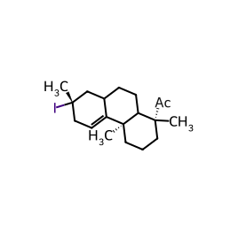 CC(=O)[C@]1(C)CCC[C@@]2(C)C3=CC[C@](C)(I)CC3CCC12